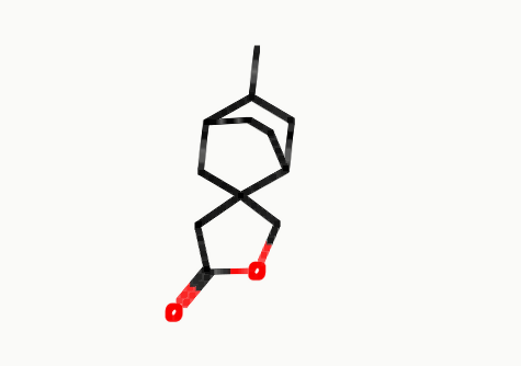 CC1CC2CCC1CC21COC(=O)C1